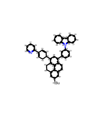 CC(C)(C)c1cc2c3c(ccc4c(-c5cccc(-n6c7ccccc7c7ccccc76)c5)cc(C5C=CC(c6ccccn6)=CC5)c(c43)CC2)c1